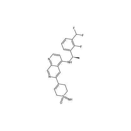 C[C@@H](Nc1ccnc2cnc(C3=CCS(=N)(=O)CC3)cc12)c1cccc(C(F)F)c1F